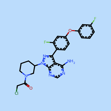 Nc1ncnc2c1c(-c1ccc(Oc3cccc(F)c3)cc1F)nn2C1CCCN(C(=O)CCl)C1